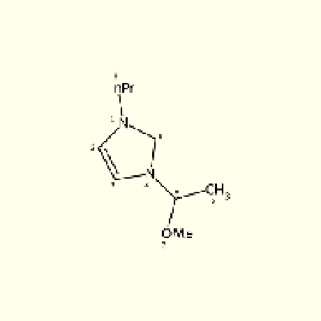 CCCN1C=CN(C(C)OC)C1